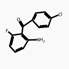 Nc1cccc(F)c1C(=O)c1ccc(Cl)cc1